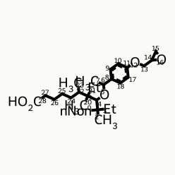 CCCCCCCCCC(C)(CC)C(OC(C)c1ccc(OCC2CO2)cc1)C(C)(CC)C(C)CCCCC(=O)O